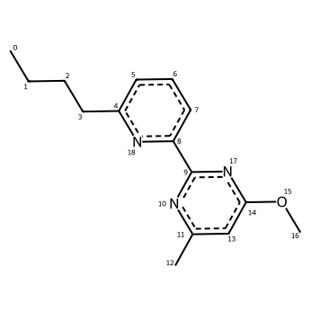 CCCCc1cccc(-c2nc(C)cc(OC)n2)n1